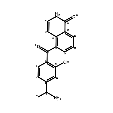 CC(N)c1ccc(C(=O)c2cccc3c(=O)[nH]ccc23)c(Cl)c1